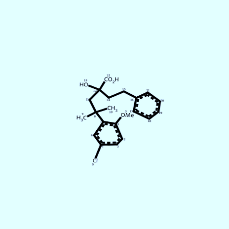 COc1ccc(Cl)cc1C(C)(C)CC(O)(CCc1ccccc1)C(=O)O